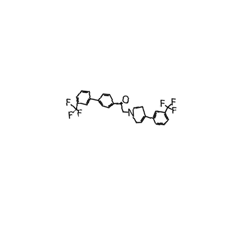 O=C(CN1CC=C(c2cccc(C(F)(F)F)c2)CC1)c1ccc(-c2cccc(C(F)(F)F)c2)cc1